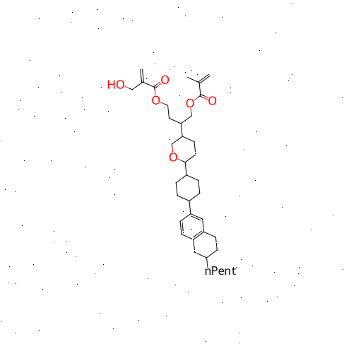 C=C(C)C(=O)OCC(CCOC(=O)C(=C)CO)C1CCC(C2CCC(c3ccc4c(c3)CCC(CCCCC)C4)CC2)OC1